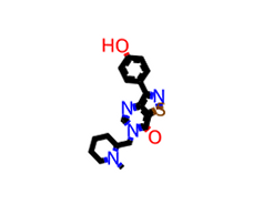 CN1CCCCC1Cn1cnc2c(-c3ccc(O)cc3)nsc2c1=O